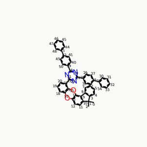 CC1(C)c2ccccc2-c2c1ccc1c2Oc2c(cccc2-c2nc(-c3ccc(-c4ccccc4)cc3)nc(-c3ccc(-c4ccccc4)cc3)n2)O1